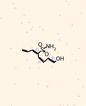 C=C\C=C(/C=C\C=C\O)S(N)(=O)=O